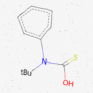 CC(C)(C)N(C(O)=S)c1ccccc1